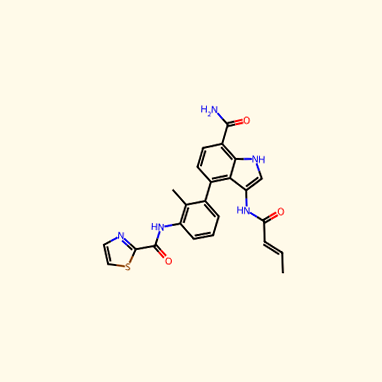 CC=CC(=O)Nc1c[nH]c2c(C(N)=O)ccc(-c3cccc(NC(=O)c4nccs4)c3C)c12